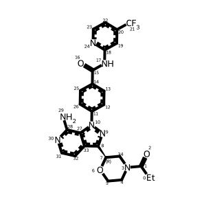 CCC(=O)N1CCO[C@@H](c2nn(-c3ccc(C(=O)Nc4cc(C(F)(F)F)ccn4)cc3)c3c(N)nccc23)C1